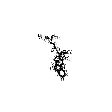 CCC(=O)O[C@]1(C(=O)COC(=O)CCN(C)C)CC[C@H]2[C@@H]3CCC4=CC(=O)CC[C@]4(C)[C@H]3CC[C@@]21C